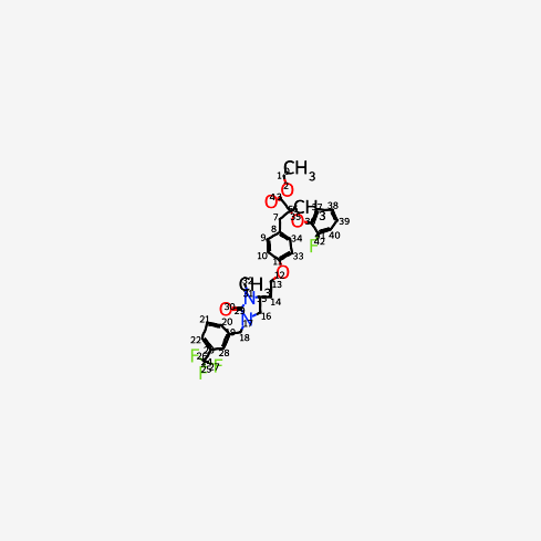 CCOC(=O)C(C)(Cc1ccc(OCCC2CN(Cc3cccc(C(F)(F)F)c3)C(=O)N2C)cc1)Oc1ccccc1F